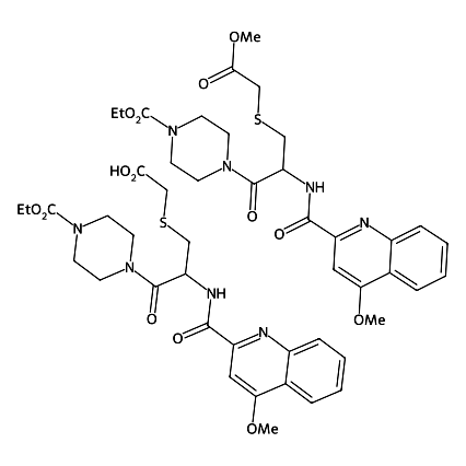 CCOC(=O)N1CCN(C(=O)C(CSCC(=O)O)NC(=O)c2cc(OC)c3ccccc3n2)CC1.CCOC(=O)N1CCN(C(=O)C(CSCC(=O)OC)NC(=O)c2cc(OC)c3ccccc3n2)CC1